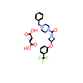 O=C(N1CCN(Cc2ccccc2)CC1)N1CC(Oc2cccc(C(F)(F)F)c2)C1.O=C(O)/C=C/C(=O)O